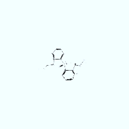 NCCc1ccccc1S(=O)(=O)c1ccccc1CCN